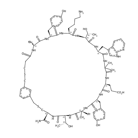 CC(C)[C@]1(C)NC(=O)[C@H](Cc2ccc(O)cc2)NC(=O)[C@H](CCC(=O)O)NC(=O)C(C)(C)NC(=O)[C@H](Cc2c[nH]c3ncccc23)NC(=O)[C@H]([C@@H](C)O)NC(=O)[C@H](CCCCN)NC(=O)[C@H](Cc2ccc(O)cc2)NC(=O)[C@H](C(C)(C)C)NC(=O)CCSCc2cccc(c2)CSC[C@H](C(N)=O)NC(=O)[C@H]([C@@H](C)O)NC1=O